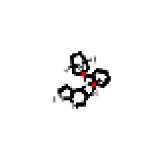 Cc1nc2cnc3[nH]ccc3c2n1[C@@H]1C[C@H]2CC[C@@H](C1)N2Cc1ccccc1